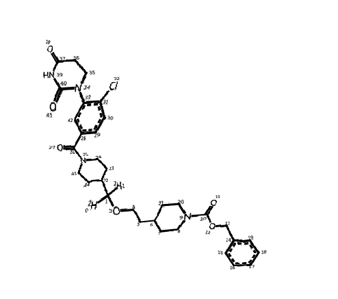 [2H]C([2H])(OCCC1CCN(C(=O)OCc2ccccc2)CC1)C1CCN(C(=O)c2ccc(Cl)c(N3CCC(=O)NC3=O)c2)CC1